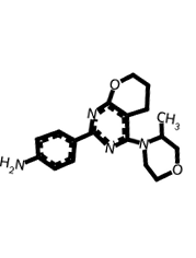 CC1COCCN1c1nc(-c2ccc(N)cc2)nc2c1CCCO2